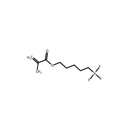 C=C(C)C(=O)OCCCCC[Si](F)(F)F